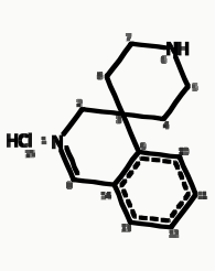 C1=NCC2(CCNCC2)c2ccccc21.Cl